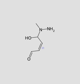 CN(N)C(O)/C=C\C=O